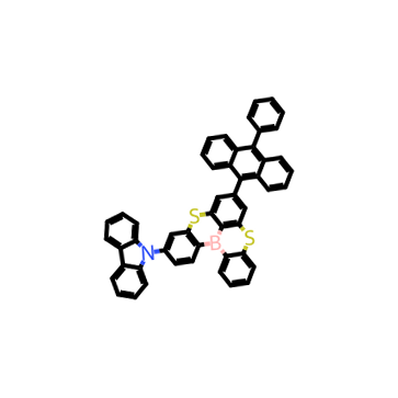 c1ccc(-c2c3ccccc3c(-c3cc4c5c(c3)Sc3cc(-n6c7ccccc7c7ccccc76)ccc3B5c3ccccc3S4)c3ccccc23)cc1